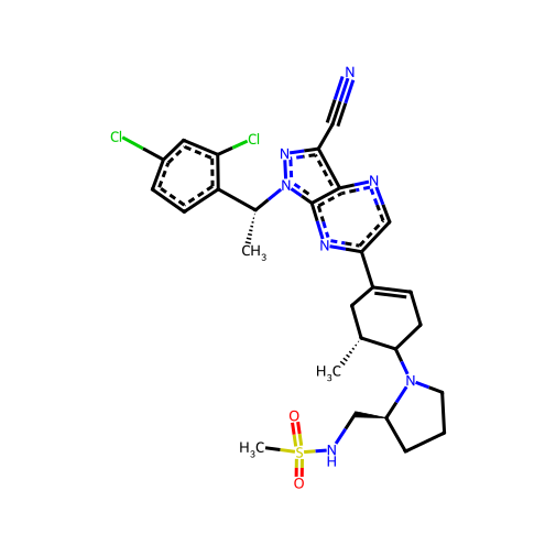 C[C@@H]1CC(c2cnc3c(C#N)nn([C@H](C)c4ccc(Cl)cc4Cl)c3n2)=CCC1N1CCC[C@H]1CNS(C)(=O)=O